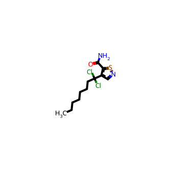 CCCCCCCC(Cl)(Cl)c1cnsc1C(N)=O